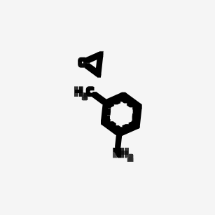 C1CO1.Cc1cccc(N)c1